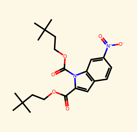 CC(C)(C)CCOC(=O)c1cc2ccc([N+](=O)[O-])cc2n1C(=O)OCCC(C)(C)C